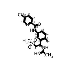 CC(=N)NC(CS(C)(=O)=O)c1cc(NC(=O)c2ccc(Cl)cn2)ccc1F